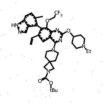 C=Cc1cc2c(N3CCC4(CC3)CN(C(=O)OC(C)(C)C)C4)nc(OC3CCN(CC)CC3)nc2c(OCC(F)(F)F)c1-c1c(C)ccc2[nH]ncc12